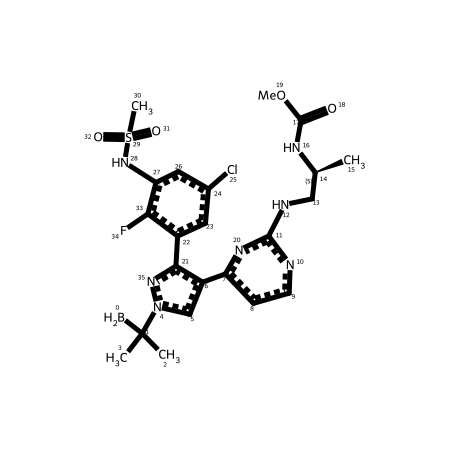 BC(C)(C)n1cc(-c2ccnc(NC[C@H](C)NC(=O)OC)n2)c(-c2cc(Cl)cc(NS(C)(=O)=O)c2F)n1